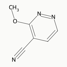 COc1nnccc1C#N